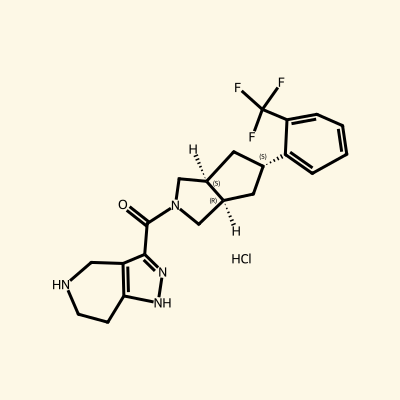 Cl.O=C(c1n[nH]c2c1CNCC2)N1C[C@H]2C[C@H](c3ccccc3C(F)(F)F)C[C@H]2C1